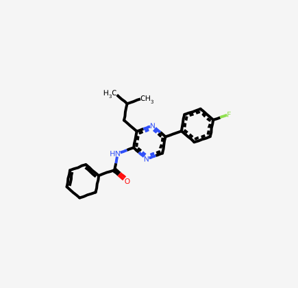 CC(C)Cc1nc(-c2ccc(F)cc2)cnc1NC(=O)C1=CC=CCC1